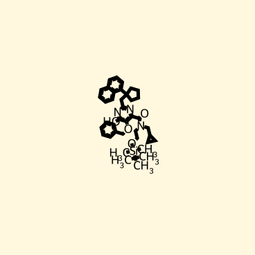 CC(C)(C)[Si](C)(C)OCCN(CC1CC1)C(=O)c1nc(CC2(c3cccc4ccccc34)CCCC2)nc(O)c1OCc1ccccc1